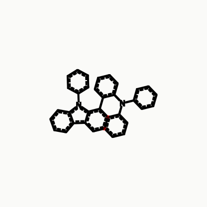 c1ccc(N(c2ccccc2)c2ccccc2-c2cccc3c4ccccc4n(-c4ccccc4)c23)cc1